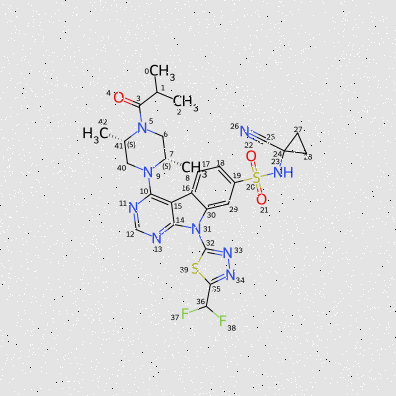 CC(C)C(=O)N1C[C@H](C)N(c2ncnc3c2c2ccc(S(=O)(=O)NC4(C#N)CC4)cc2n3-c2nnc(C(F)F)s2)C[C@@H]1C